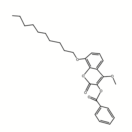 CCCCCCCCCCOc1cccc2c(OC)c(OC(=O)c3ccccc3)c(=O)oc12